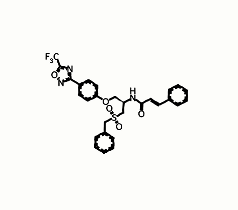 O=C(C=Cc1ccccc1)N[C@H](COc1ccc(-c2noc(C(F)(F)F)n2)cc1)CS(=O)(=O)Cc1ccccc1